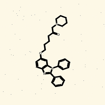 O=C(CCCCOc1ccc2nc(-c3ccccc3)n(-c3ccccc3)c2c1)CN1CCCCC1